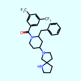 O=C(c1cc(C(F)(F)F)cc(C(F)(F)F)c1)N1CCC(N2CCC3(CCCN3)C2)CC1Cc1ccccc1